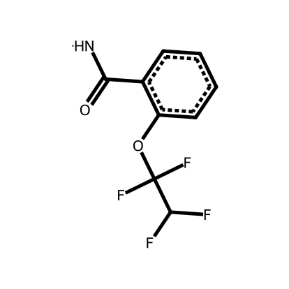 [NH]C(=O)c1ccccc1OC(F)(F)C(F)F